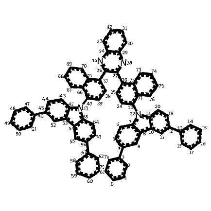 c1ccc(-c2ccc3c(c2)c2cc(-c4ccccc4)ccc2n3-c2ccc(-c3nc4ccccc4nc3-c3ccc(-n4c5ccc(-c6ccccc6)cc5c5cc(-c6ccccc6)ccc54)c4ccccc34)c3ccccc23)cc1